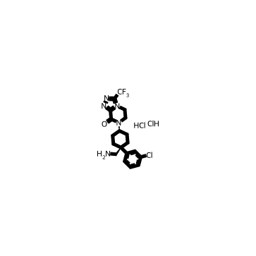 Cl.Cl.NC[C@]1(c2cccc(Cl)c2)CC[C@@H](N2CCn3c(nnc3C(F)(F)F)C2=O)CC1